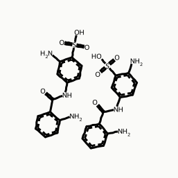 Nc1ccccc1C(=O)Nc1ccc(N)c(S(=O)(=O)O)c1.Nc1ccccc1C(=O)Nc1ccc(S(=O)(=O)O)c(N)c1